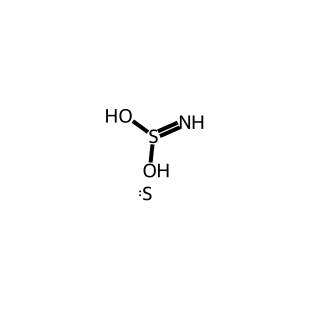 N=S(O)O.[S]